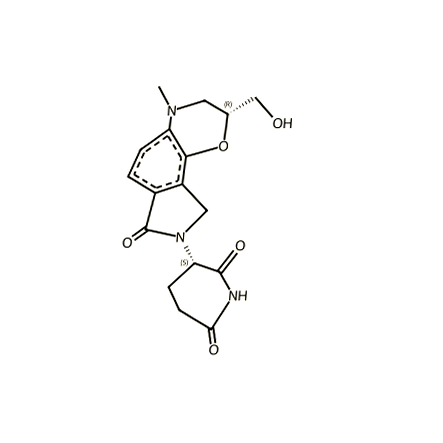 CN1C[C@H](CO)Oc2c1ccc1c2CN([C@H]2CCC(=O)NC2=O)C1=O